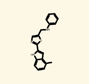 Cc1cccc2[nH]c(-c3ncc(CNc4ccccc4)s3)cc12